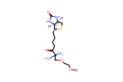 CCOCCOCC(N)(N)C(=O)CCCC[C@@H]1SC[C@@H]2NC(=O)N[C@@H]21